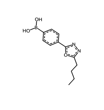 CCCCc1nnc(-c2ccc(B(O)O)cc2)o1